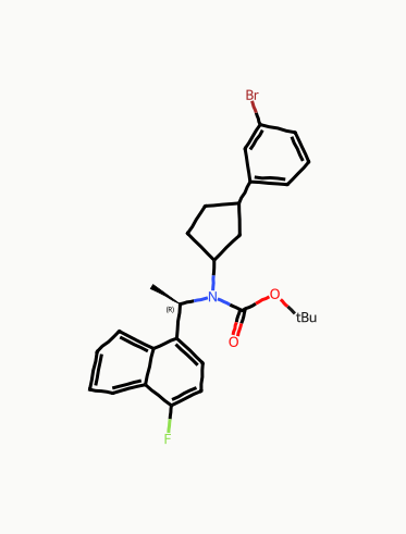 C[C@H](c1ccc(F)c2ccccc12)N(C(=O)OC(C)(C)C)C1CCC(c2cccc(Br)c2)C1